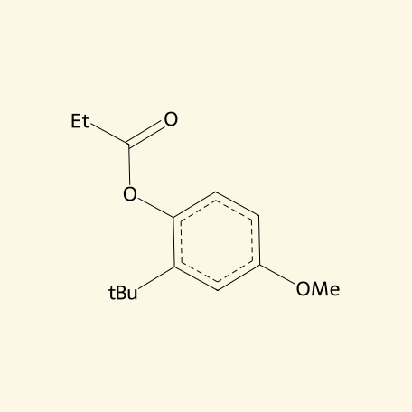 CCC(=O)Oc1ccc(OC)cc1C(C)(C)C